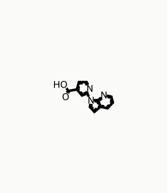 O=C(O)c1ccnc(-n2ccc3cccnc32)c1